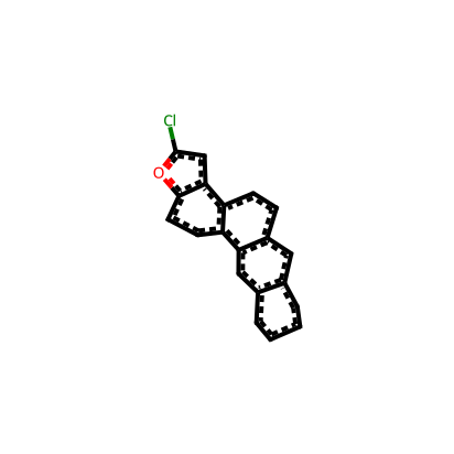 Clc1cc2c(ccc3c4cc5ccccc5cc4ccc23)o1